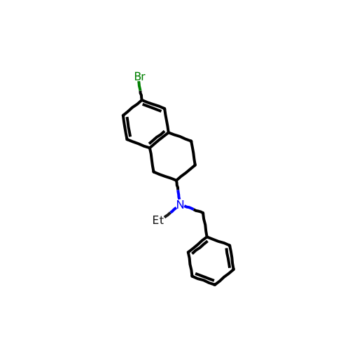 CCN(Cc1ccccc1)C1CCc2cc(Br)ccc2C1